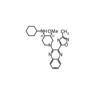 CO[C@H]1CN(c2nc3ccccc3nc2-c2nc(C)no2)CC[C@H]1NC1CCCCC1